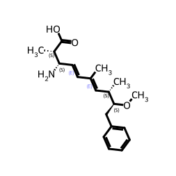 CO[C@@H](Cc1ccccc1)[C@@H](C)/C=C(C)/C=C/[C@H](N)[C@H](C)C(=O)O